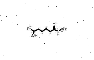 CCCNC(=O)CCCCC(O)CC